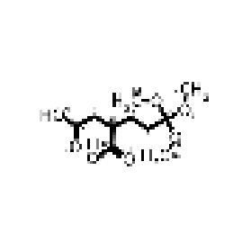 COC(CCC(CC(=O)O)C(=O)O)(OC)OC